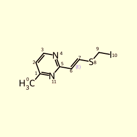 Cc1ccnc(/C=C/SCI)n1